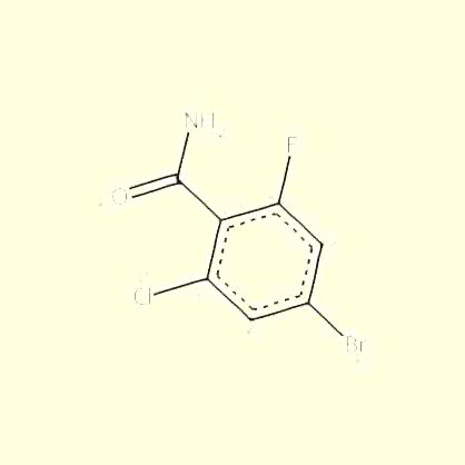 NC(=O)c1c(F)cc(Br)cc1Cl